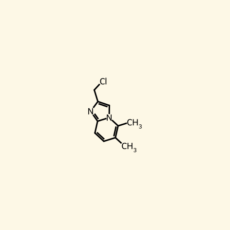 Cc1ccc2nc(CCl)cn2c1C